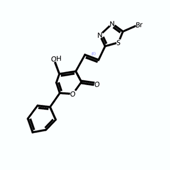 O=c1oc(-c2ccccc2)cc(O)c1/C=C/c1nnc(Br)s1